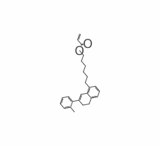 C=CC(=O)OCCCCCCc1cccc2c1C=C(c1ccccc1C)CC2